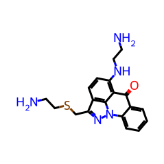 NCCNc1ccc2c(CSCCN)nn3c4ccccc4c(=O)c1c23